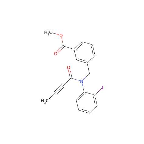 CC#CC(=O)N(Cc1cccc(C(=O)OC)c1)c1ccccc1I